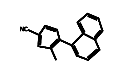 Cc1cc(C#N)ccc1-c1cccc2ccccc12